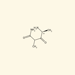 CC(C(N)=O)C(=O)[C@H](C)N